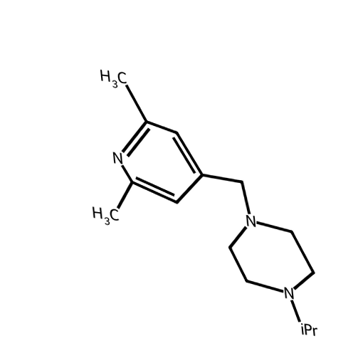 Cc1cc(CN2CCN(C(C)C)CC2)cc(C)n1